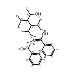 CC(C)C(C(C)O)C(C(C)C)C(C)O.O=C(O)c1ccccc1.O=C(O)c1ccccc1